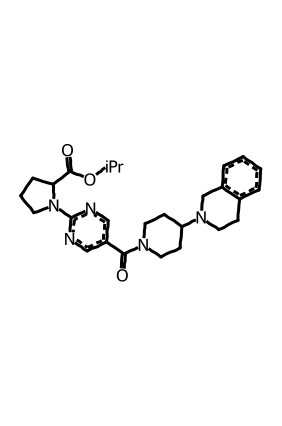 CC(C)OC(=O)C1CCCN1c1ncc(C(=O)N2CCC(N3CCc4ccccc4C3)CC2)cn1